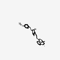 CCCc1ccc(CCc2ccc(CCC3=CCC(C)(C[C@H](C)c4ccccc4)CC3)c(F)c2)cc1